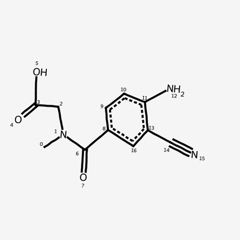 CN(CC(=O)O)C(=O)c1ccc(N)c(C#N)c1